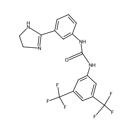 O=C(Nc1cccc(C2=NCCN2)c1)Nc1cc(C(F)(F)F)cc(C(F)(F)F)c1